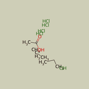 C.CC.CC(=O)O.CCC.Cl.Cl.Cl.Cl.Cl